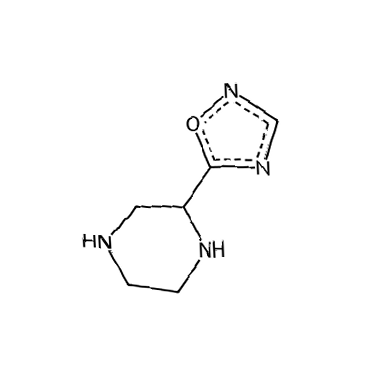 c1noc(C2CNCCN2)n1